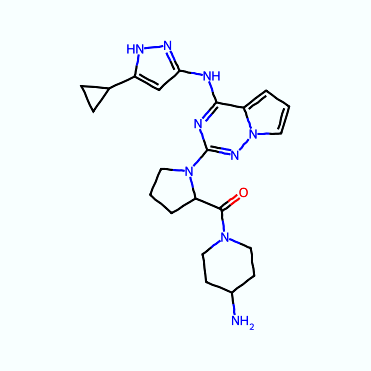 NC1CCN(C(=O)C2CCCN2c2nc(Nc3cc(C4CC4)[nH]n3)c3cccn3n2)CC1